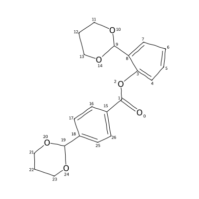 O=C(Oc1ccccc1C1OCCCO1)c1ccc(C2OCCCO2)cc1